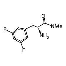 CNC(=O)[C@@H](N)Cc1cc(F)cc(F)c1